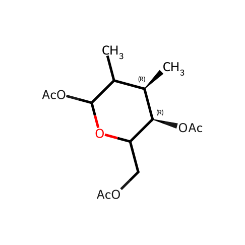 CC(=O)OCC1OC(OC(C)=O)C(C)[C@@H](C)[C@H]1OC(C)=O